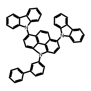 c1ccc(-c2cccc(-n3c4ccc(-n5c6ccccc6c6ccccc65)c5ccc6c(-n7c8ccccc8c8ccccc87)ccc3c6c54)c2)cc1